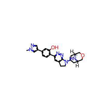 Cn1cc(-c2ccc(-c3cc4c(nn3)N(C3C[C@H]5COC[C@@H](C3)N5)CC4)c(O)c2)cn1